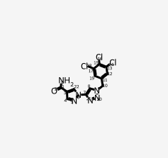 NC(=O)c1cnn(-c2cn(Cc3cc(Cl)c(Cl)c(Cl)c3)nn2)c1